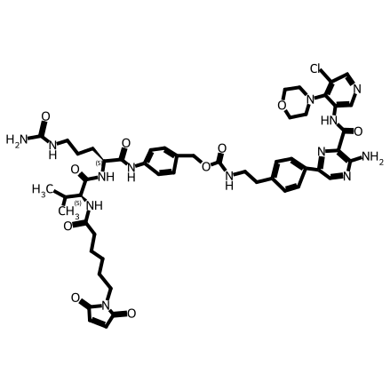 CC(C)[C@H](NC(=O)CCCCCN1C(=O)C=CC1=O)C(=O)N[C@@H](CCCNC(N)=O)C(=O)Nc1ccc(COC(=O)NCCc2ccc(-c3cnc(N)c(C(=O)Nc4cncc(Cl)c4N4CCOCC4)n3)cc2)cc1